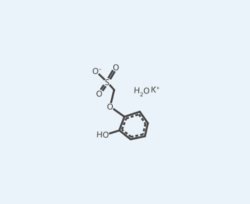 O.O=S(=O)([O-])COc1ccccc1O.[K+]